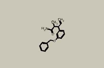 C=CC(c1cccc(OCc2ccccc2)c1)C(C)C(N)=O